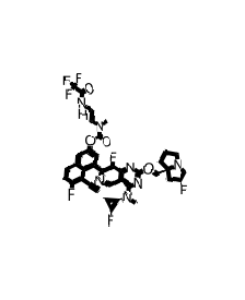 C#Cc1c(F)ccc2cc(OC(=O)N(C)CCNC(=O)C(F)(F)F)cc(-c3ncc4c(N(C)[C@H]5C[C@@H]5F)nc(OC[C@@]56CCCN5C[C@H](F)C6)nc4c3F)c12